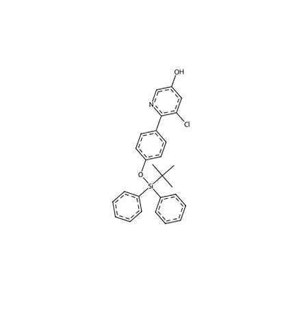 CC(C)(C)[Si](Oc1ccc(-c2ncc(O)cc2Cl)cc1)(c1ccccc1)c1ccccc1